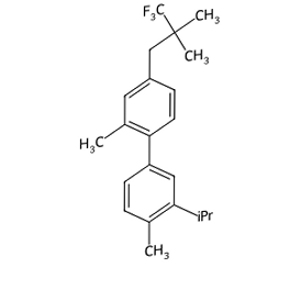 Cc1cc(CC(C)(C)C(F)(F)F)ccc1-c1ccc(C)c(C(C)C)c1